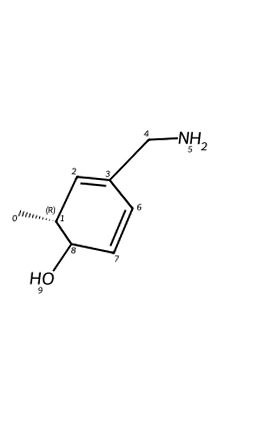 C[C@@H]1C=C(CN)C=CC1O